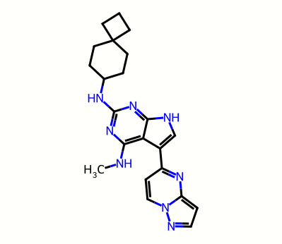 CNc1nc(NC2CCC3(CCC3)CC2)nc2[nH]cc(-c3ccn4nccc4n3)c12